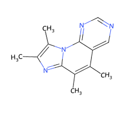 Cc1nc2c(C)c(C)c3cncnc3n2c1C